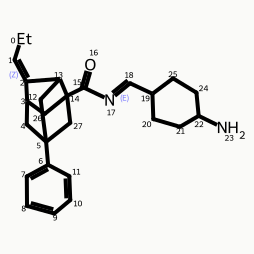 CC/C=C1/C2CC3(c4ccccc4)CC1C(C(=O)/N=C/C1CCC(N)CC1)(C2)C3